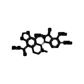 COC(=O)c1c2c(c(OC)c3c1OCO3)[C@H](C1OC(=O)c3c1ccc(OC)c3OC)N(C)CC2